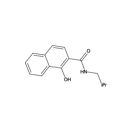 CC(C)CNC(=O)c1ccc2ccccc2c1O